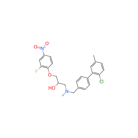 Cc1ccc(Cl)c(-c2ccc(CN(C)CC(O)COc3ccc([N+](=O)[O-])cc3F)cc2)c1